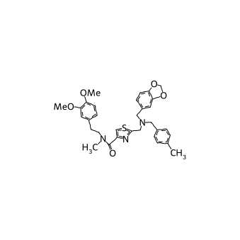 COc1ccc(CCN(C)C(=O)c2csc(CN(Cc3ccc(C)cc3)Cc3ccc4c(c3)OCO4)n2)cc1OC